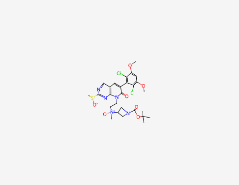 COc1cc(OC)c(Cl)c(-c2cc3cnc([S+](C)[O-])nc3n(CC[N+](C)([O-])C3CN(C(=O)OC(C)(C)C)C3)c2=O)c1Cl